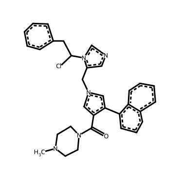 CN1CCN(C(=O)c2cn(Cc3cncn3C(Cl)Cc3ccccc3)cc2-c2cccc3ccccc23)CC1